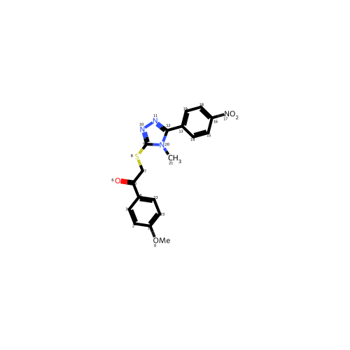 COc1ccc(C(=O)CSc2nnc(-c3ccc([N+](=O)[O-])cc3)n2C)cc1